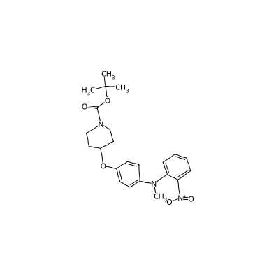 CN(c1ccc(OC2CCN(C(=O)OC(C)(C)C)CC2)cc1)c1ccccc1[N+](=O)[O-]